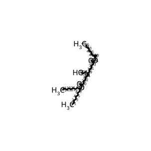 CCCCCCCCC(CCCCCCCC)OC(=O)CCCCCN(CCO)CCCCCC(=O)OC1CC1CCCCCCC